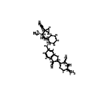 C=C1CCC(N2Cc3cc(C[C@H]4CCCC[C@@H]4N[C@H](C)C4(C#N)CC4)ccc3C2=O)C(=O)N1